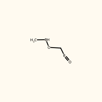 CBOCB=O